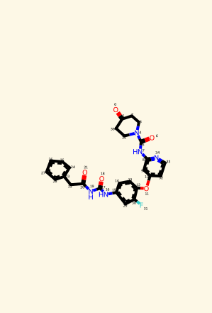 O=C1CCN(C(=O)Nc2cc(Oc3ccc(NC(=O)NC(=O)Cc4ccccc4)cc3F)ccn2)CC1